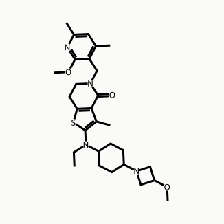 CCN(c1sc2c(c1C)C(=O)N(Cc1c(C)cc(C)nc1OC)CC2)C1CCC(N2CC(OC)C2)CC1